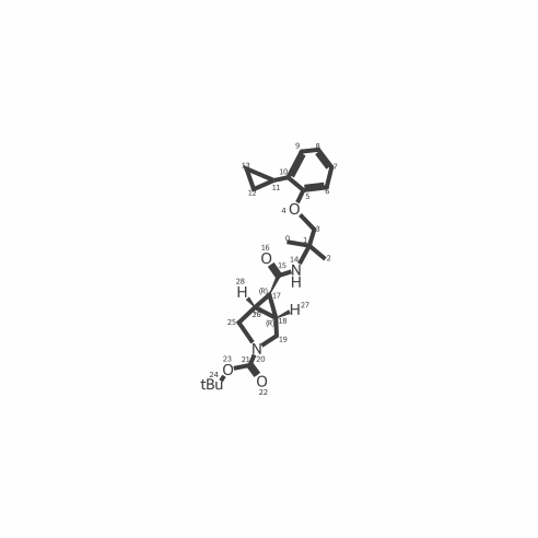 CC(C)(COc1ccccc1C1CC1)NC(=O)[C@H]1[C@@H]2CN(C(=O)OC(C)(C)C)C[C@@H]21